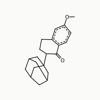 COc1ccc2c(c1)CCC(C13CC4CC(CC(C4)C1)C3)C2=O